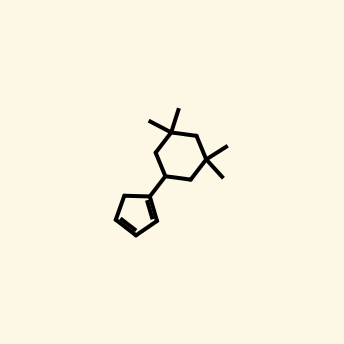 CC1(C)CC(C2=CC=CC2)CC(C)(C)C1